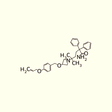 C=CCOc1ccc(COC2CN(C(C)(C)CCC(C(N)=O)(c3ccccc3)c3ccccc3)C2)cc1